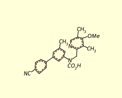 COc1c(C)cnc(CN(C(=O)O)c2cc(C)cc(-c3ccc(C#N)cc3)c2)c1C